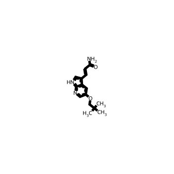 CC(C)(C)COc1cnc2[nH]cc(C=CC(N)=O)c2c1